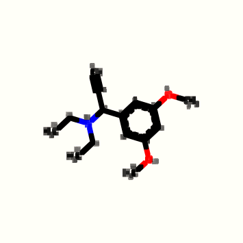 C#CC(c1cc(OC)cc(OC)c1)N(CC)CC